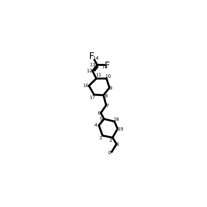 CCC1CCC(CCC2CCC(C=C(F)F)CC2)CC1